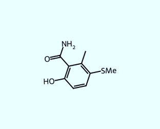 CSc1ccc(O)c(C(N)=O)c1C